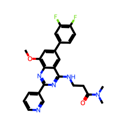 COc1cc(-c2ccc(F)c(F)c2)cc2c(NCCC(=O)N(C)C)nc(-c3cccnc3)nc12